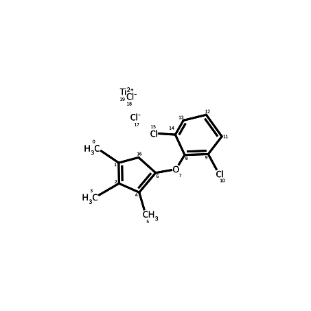 CC1=C(C)C(C)=C(Oc2c(Cl)cccc2Cl)C1.[Cl-].[Cl-].[Ti+2]